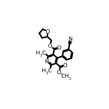 COC(=O)c1c(C)nc(C)c(C(=O)OCC2CCCO2)c1-c1cccc(C#N)c1